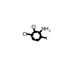 Nc1c(I)ccc(Cl)c1Cl